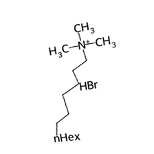 Br.CCCCCCCCCCCC[N+](C)(C)C